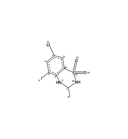 CC1Nc2c(I)cc(Cl)cc2S(=O)(=O)N1